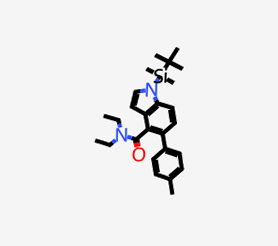 CCN(CC)C(=O)c1c(-c2ccc(C)cc2)ccc2c1ccn2[Si](C)(C)C(C)(C)C